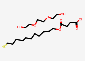 O=C(O)CCC(=O)OCCCCCCCCCCCS.OCCOCCOCCO